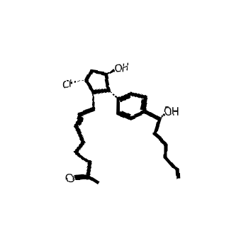 CCCCC[C@@H](O)c1ccc([C@@H]2[C@@H](C/C=C\CCCC(C)=O)[C@H](Cl)C[C@H]2O)cc1